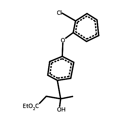 CCOC(=O)CC(C)(O)c1ccc(Oc2ccccc2Cl)cc1